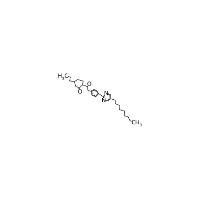 CCCCCCCCCc1cnc(-c2ccc(CC(=O)C3CCC(CCC)CC3=O)cc2)nc1